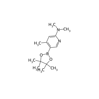 Cc1cc(N(C)C)ncc1B1OC(C)(C)C(C)(C)O1